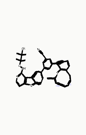 C=C1/C=C\C=C/Cc2cccc(-c3cc(C#N)cc(-c4ccc5sc6ccnc(BOC(C)(C)C(C)(C)O)c6c5c4)c3)c2S1